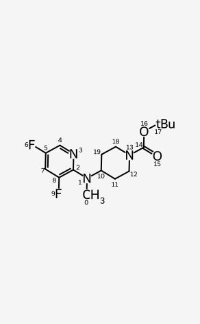 CN(c1ncc(F)cc1F)C1CCN(C(=O)OC(C)(C)C)CC1